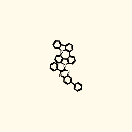 c1ccc(-c2ccc3nc(-c4ccccc4)c(-n4c5cccc6c7cccc8c9ccccc9n(c9cccc4c9c65)c78)nc3c2)cc1